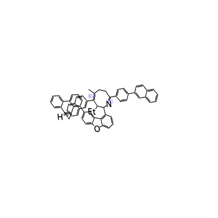 CCC1/C(c2ccc3ccccc3c2)=C(/C)CC/C(c2ccc(-c3ccc4ccccc4c3)cc2)=N\C1c1cccc2oc3ccc(-c4cccc5c4C4C[C@H]4c4ccccc4-5)cc3c12